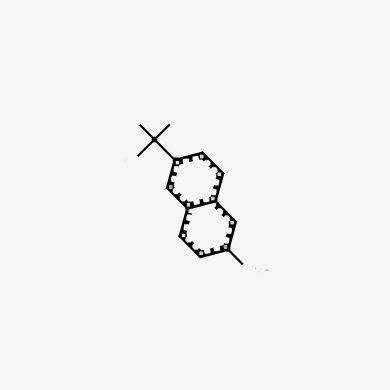 CCCC(O)(C(=O)O)c1ccc2cc(OC)ccc2c1